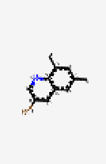 Cc1cc(C)c2ncc(Br)cc2c1